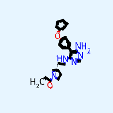 C=CC(=O)N1CC[C@@H](CCNc2ncnc(N)c2-c2ccc(Oc3ccccc3)cc2)C1